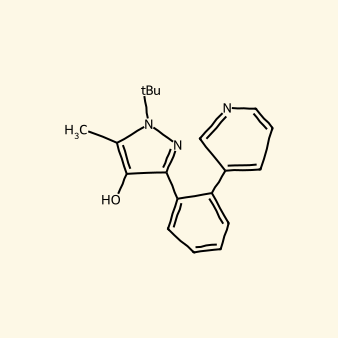 Cc1c(O)c(-c2ccccc2-c2cccnc2)nn1C(C)(C)C